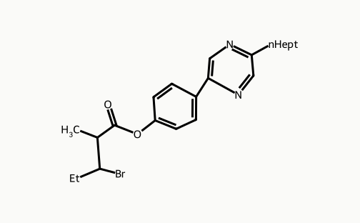 CCCCCCCc1cnc(-c2ccc(OC(=O)C(C)C(Br)CC)cc2)cn1